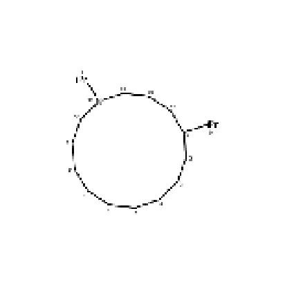 CC(C)C1CCCCCCCCCN(C(C)C)CCC1